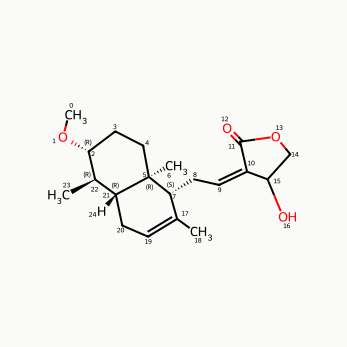 CO[C@@H]1CC[C@@]2(C)[C@H](CC=C3C(=O)OCC3O)C(C)=CC[C@@H]2[C@H]1C